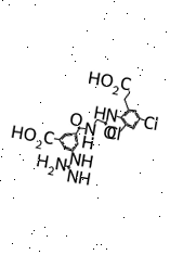 N=C(N)Nc1cc(C(=O)O)cc(C(=O)NCC(=O)Nc2c(Cl)cc(Cl)cc2CCC(=O)O)c1